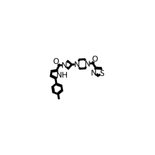 Cc1ccc(-c2ccc(C(=O)N3CC(N4CCN(C(=O)c5cscn5)CC4)C3)[nH]2)cc1